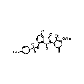 CCC1=C(OC)CNC=C1N1C(=O)c2c(Cl)ccc(NS(=O)(=O)c3ccc(C(C)(C)C)cc3)c2C1=O